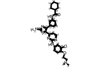 CN(C)CCOc1ccc(Nc2nccc(-c3sc(N)nc3-c3cccc(NC(=O)C4CCCCC4)c3)n2)cc1Cl